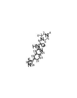 CC1CN(C)CCN1CC(=O)Nc1cc2cc(-c3cncs3)ccc2cn1